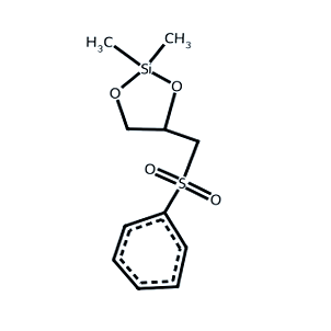 C[Si]1(C)OCC(CS(=O)(=O)c2ccccc2)O1